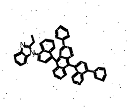 CCc1nc2ccccc2n1-c1ccc(-c2c3ccccc3c(-c3ccc(-c4ccccc4)c4ccccc34)c3ccc(-c4ccccc4)cc23)c2ccccc12